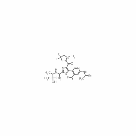 CCC(Nc1cc(C(F)F)c(-c2sc(C(=O)NC(C)C(C)(C)O)nc2C(=O)N2CC(F)(F)C[C@@H]2C)cn1)C(F)(F)F